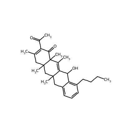 CCCCc1cccc2c1C(O)C1=C(C)C3(C)C(=O)C(C(C)=O)=C(C)CC3(C)CC1(C)C2